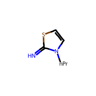 CCCn1ccsc1=N